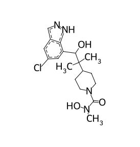 CN(O)C(=O)N1CCC(C(C)(C)C(O)c2cc(Cl)cc3cn[nH]c23)CC1